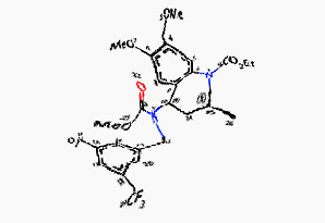 CCOC(=O)N1c2cc(OC)c(OC)cc2[C@H](N(Cc2cc([N+](=O)[O-])cc(C(F)(F)F)c2)C(=O)OC)C[C@@H]1C